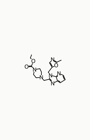 CCOC(=O)N1CCN(Cc2nc3cccnc3n2Cc2cnc(C)o2)CC1